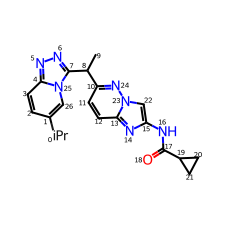 CC(C)c1ccc2nnc(C(C)c3ccc4nc(NC(=O)C5CC5)cn4n3)n2c1